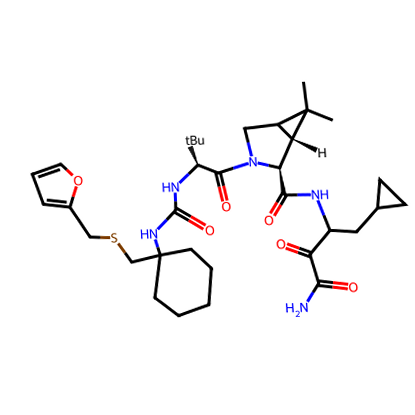 CC(C)(C)[C@H](NC(=O)NC1(CSCc2ccco2)CCCCC1)C(=O)N1CC2[C@@H]([C@H]1C(=O)NC(CC1CC1)C(=O)C(N)=O)C2(C)C